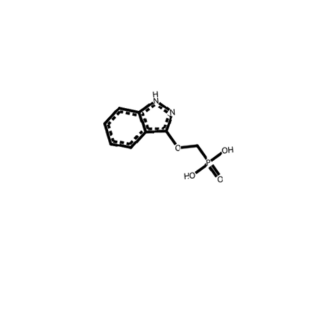 O=P(O)(O)COc1n[nH]c2ccccc12